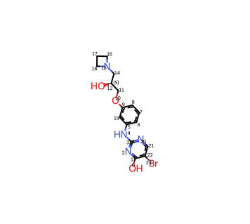 Oc1nc(Nc2cccc(OC[C@@H](O)CN3CCC3)c2)ncc1Br